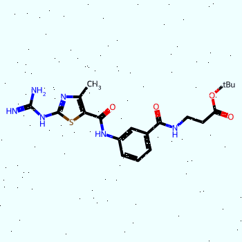 Cc1nc(NC(=N)N)sc1C(=O)Nc1cccc(C(=O)NCCC(=O)OC(C)(C)C)c1